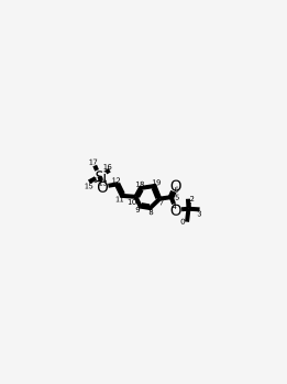 CC(C)(C)OC(=O)c1ccc(C=CO[Si](C)(C)C)cc1